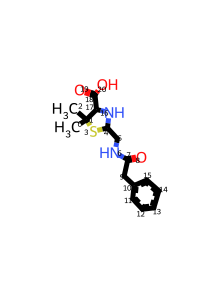 CC1(C)SC(CNC(=O)Cc2ccccc2)NC1C(=O)O